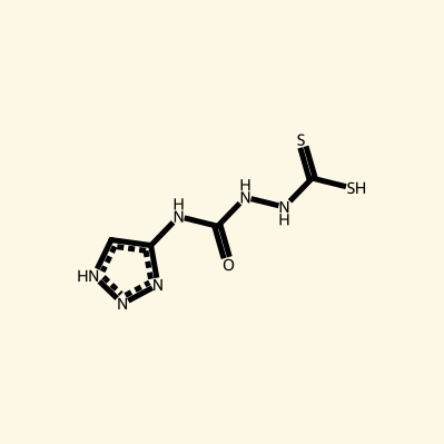 O=C(NNC(=S)S)Nc1c[nH]nn1